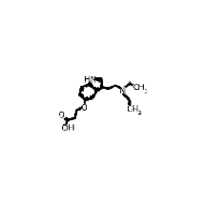 C=CCN(CC)CCc1c[nH]c2ccc(OCCC(=O)O)cc12